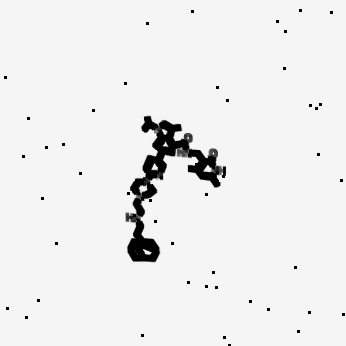 Cc1cc(C)c(CNC(=O)c2cc(-c3ccc(N4CCN(CCNCCC56CC7CC(CC(C7)C5)C6)CC4)nc3)cc3c2c(C)cn3C(C)C)c(=O)[nH]1